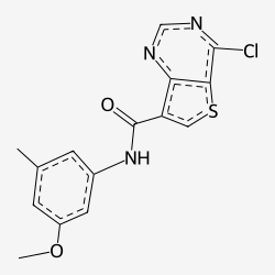 COc1cc(C)cc(NC(=O)c2csc3c(Cl)ncnc23)c1